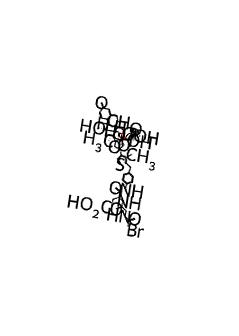 Cc1c([C@@H]2O[C@@H]3C[C@H]4[C@@H]5CCC6=CC(=O)C=C[C@]6(C)[C@H]5[C@@H](O)C[C@]4(C)[C@]3(C(=O)COP(=O)(O)O)O2)csc1Cc1ccc(NC(=O)[C@H](CCC(=O)O)NC(=O)CNC(=O)CBr)cc1